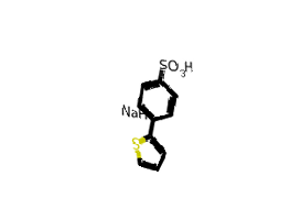 O=S(=O)(O)c1ccc(-c2cccs2)cc1.[NaH]